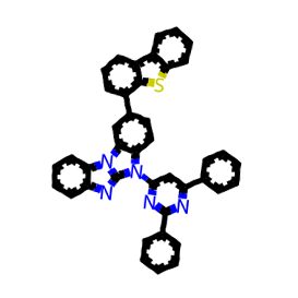 c1ccc(-c2cc(-n3c4ccc(-c5cccc6c5sc5ccccc56)cc4n4c5ccccc5nc34)nc(-c3ccccc3)n2)cc1